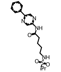 CC(C)S(=O)(=O)NCCCCC(=O)Nc1cnc(-c2ccccc2)cn1